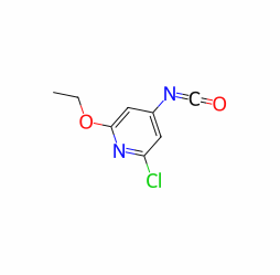 CCOc1cc(N=C=O)cc(Cl)n1